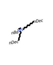 CCCCCCCCCCCCCCCCCCN1C=CN(CCCC)C1CCCCCCCCCCCCCCC